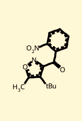 Cc1onc(C(=O)c2ccccc2[N+](=O)[O-])c1C(C)(C)C